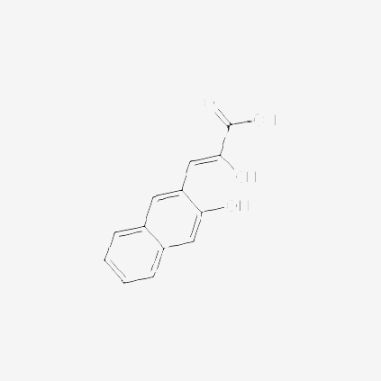 CC(=Cc1cc2ccccc2cc1O)C(=O)O